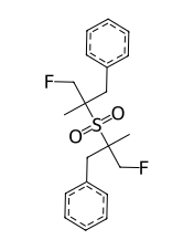 CC(CF)(Cc1ccccc1)S(=O)(=O)C(C)(CF)Cc1ccccc1